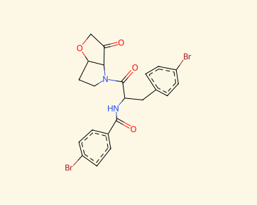 O=C(NC(Cc1ccc(Br)cc1)C(=O)N1CCC2OCC(=O)C21)c1ccc(Br)cc1